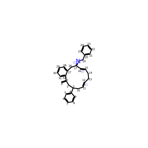 C=C1CC(c2ccccc2)C/C=C/CC/C=C/C(=N\Cc2ccccc2)Cc2ccccc21